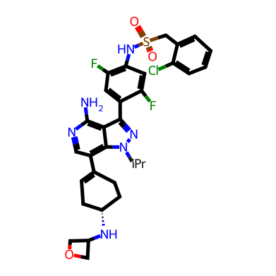 CC(C)n1nc(-c2cc(F)c(NS(=O)(=O)Cc3ccccc3Cl)cc2F)c2c(N)ncc(C3=CC[C@@H](NC4COC4)CC3)c21